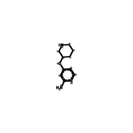 Nc1cc(OC2CCCNC2)ccn1